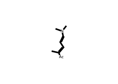 CC(=O)/C(C)=C/C=C/N(C)C